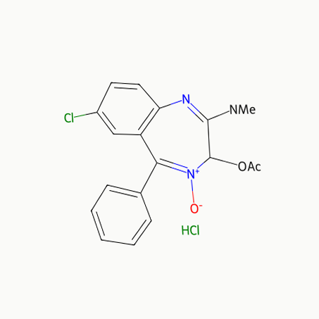 CNC1=Nc2ccc(Cl)cc2C(c2ccccc2)=[N+]([O-])C1OC(C)=O.Cl